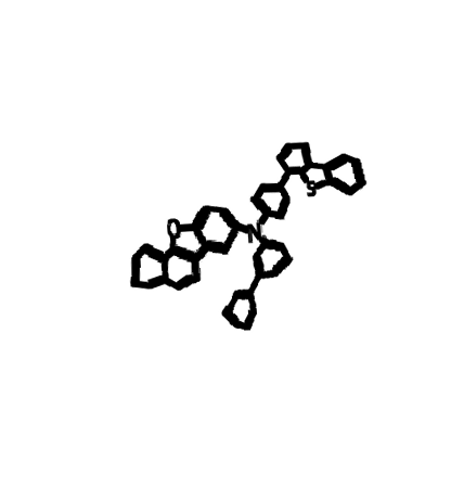 c1ccc(-c2cccc(N(c3ccc(-c4cccc5c4sc4ccccc45)cc3)c3ccc4oc5c6ccccc6ccc5c4c3)c2)cc1